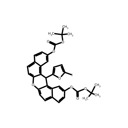 CC(C)(C)OC(=O)Oc1ccc2ccc3c(c2c1)C(c1ccc(I)o1)c1c(ccc2ccc(OC(=O)OC(C)(C)C)cc12)O3